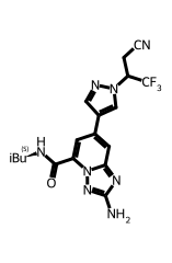 CC[C@H](C)NC(=O)c1cc(-c2cnn(C(CC#N)C(F)(F)F)c2)cc2nc(N)nn12